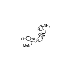 CNCc1c(CN2CCN(Cc3ccc4c(N)ncnc4c3)C(C=O)C2)[nH]c2ccc(Cl)cc12